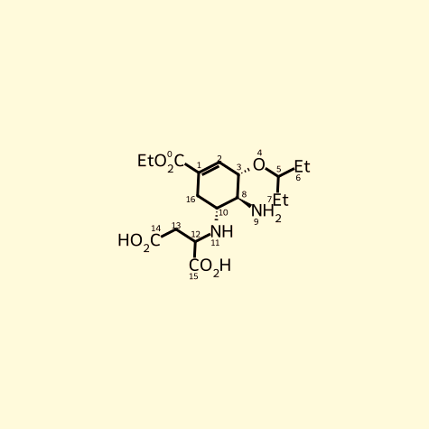 CCOC(=O)C1=C[C@H](OC(CC)CC)[C@@H](N)[C@H](NC(CC(=O)O)C(=O)O)C1